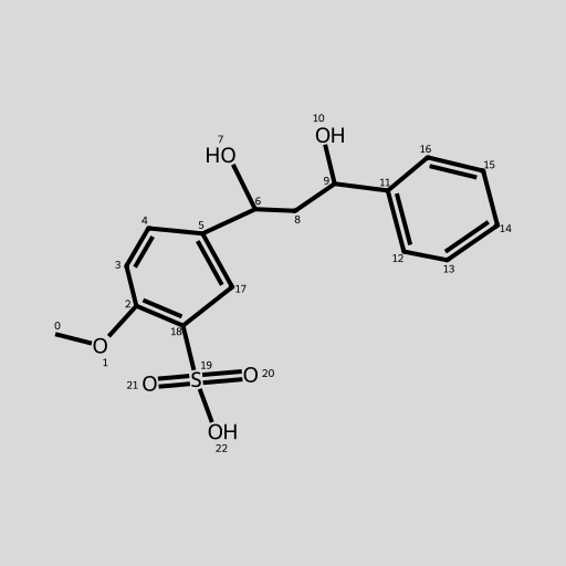 COc1ccc(C(O)CC(O)c2ccccc2)cc1S(=O)(=O)O